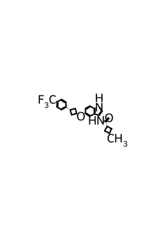 C[C@H]1C[C@H](C(=O)Nc2c[nH]c3ccc(O[C@H]4C[C@@H](c5ccc(C(F)(F)F)cc5)C4)cc23)C1